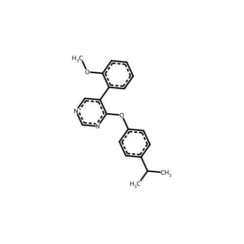 COc1ccccc1-c1cncnc1Oc1ccc(C(C)C)cc1